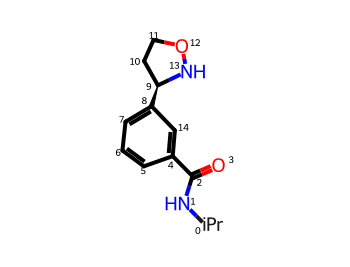 CC(C)NC(=O)c1cccc([C@H]2CCON2)c1